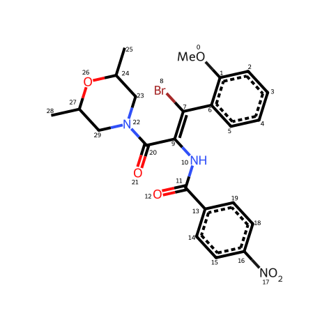 COc1ccccc1C(Br)=C(NC(=O)c1ccc([N+](=O)[O-])cc1)C(=O)N1CC(C)OC(C)C1